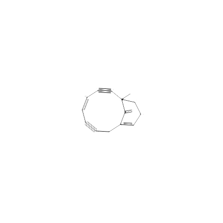 O=C1C2=CCCC1(O)C#CC=CC#CC2